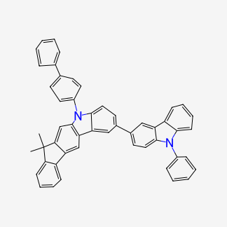 CC1(C)c2ccccc2-c2cc3c4cc(-c5ccc6c(c5)c5ccccc5n6-c5ccccc5)ccc4n(-c4ccc(-c5ccccc5)cc4)c3cc21